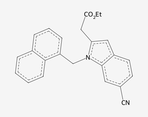 CCOC(=O)Cc1cc2ccc(C#N)cc2n1Cc1cccc2ccccc12